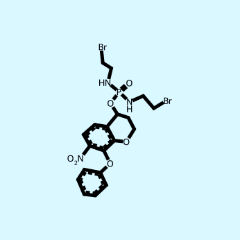 O=[N+]([O-])c1ccc2c(c1Oc1ccccc1)OCCC2OP(=O)(NCCBr)NCCBr